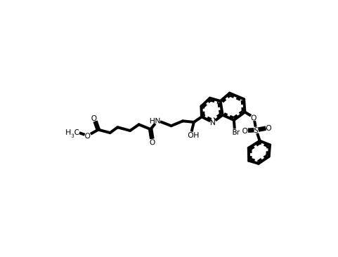 COC(=O)CCCCC(=O)NCCC(O)c1ccc2ccc(OS(=O)(=O)c3ccccc3)c(Br)c2n1